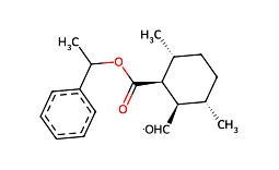 CC(OC(=O)[C@@H]1[C@H]([C]=O)[C@@H](C)CC[C@H]1C)c1ccccc1